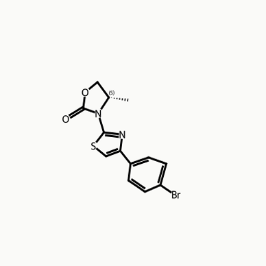 C[C@H]1COC(=O)N1c1nc(-c2ccc(Br)cc2)cs1